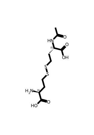 CC(=O)N[C@@H](CCSSCC[C@H](N)C(=O)O)C(=O)O